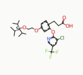 CC(C)[Si](OCCOc1ccc(CCC(=O)O)c(Oc2ncc(C(F)(F)F)cc2Cl)c1)(C(C)C)C(C)C